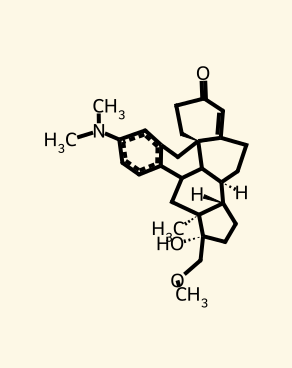 COC[C@]1(O)CC[C@H]2[C@@H]3CCC4=CC(=O)CC[C@@]45Cc4cc(N(C)C)ccc4C(C[C@@]21C)C35